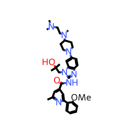 COc1ccccc1-c1cc(C(=O)Nc2nc3ccc(N4CCC(N(C)CCN(C)C)CC4)cc3n2CC(C)(C)O)cc(C)n1